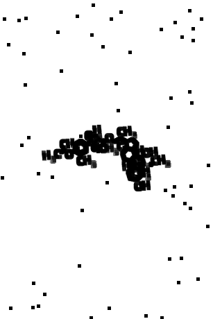 CC[C@H]1[C@@H](O)[C@@H]2[C@H](CC[C@]3(C)[C@@H]([C@H](C)COC(=O)NS(=O)(=O)c4ccc(OC(C)C)c(C)c4)CC[C@@H]23)[C@@]2(C)CC[C@@H](O)C[C@@H]12